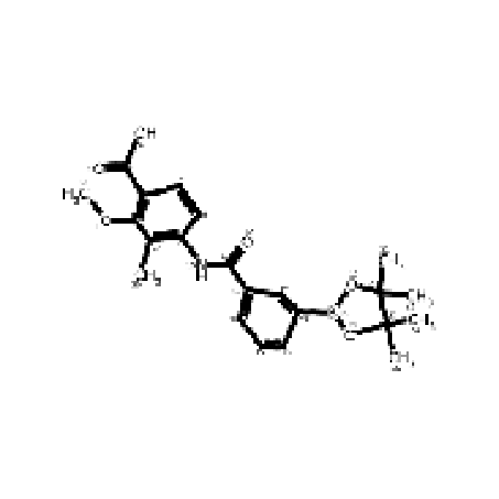 COc1c(C(=O)O)ccc(NC(=O)c2cccc(B3OC(C)(C)C(C)(C)O3)c2)c1C